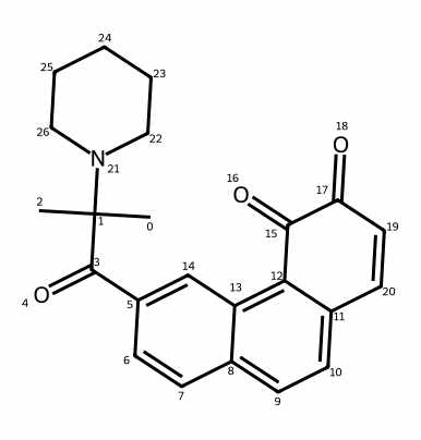 CC(C)(C(=O)c1ccc2ccc3c(c2c1)C(=O)C(=O)C=C3)N1CCCCC1